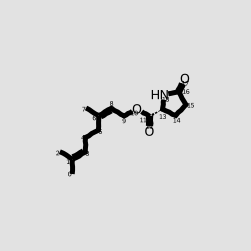 CC(C)=CCC/C(C)=C\COC(=O)[C@H]1CCC(=O)N1